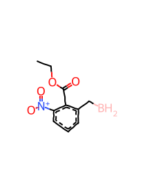 BCc1cccc([N+](=O)[O-])c1C(=O)OCC